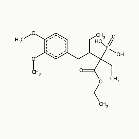 CCOC(=O)C(CC)(C(CC)Cc1ccc(OC)c(OC)c1)P(=O)(O)O